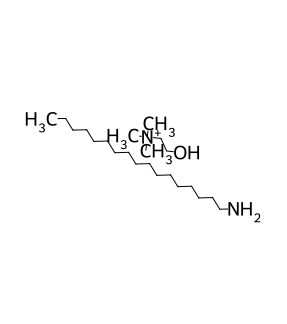 CCCCCCCCCCCCCCCCCN.C[N+](C)(C)CCO